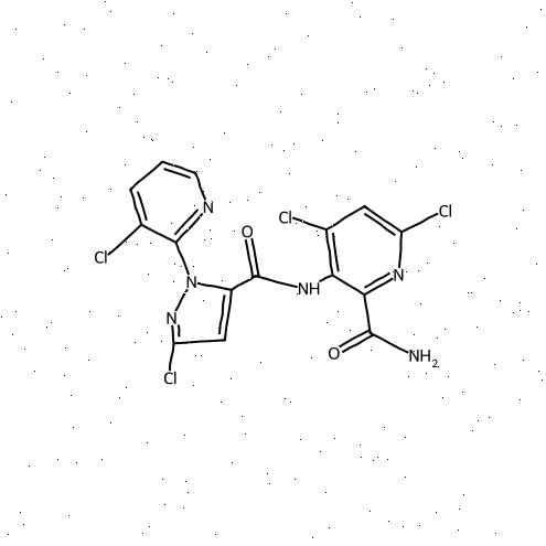 NC(=O)c1nc(Cl)cc(Cl)c1NC(=O)c1cc(Cl)nn1-c1ncccc1Cl